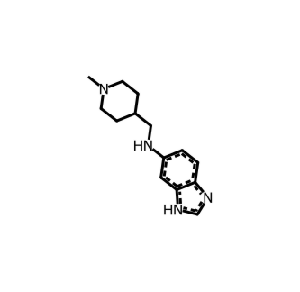 CN1CCC(CNc2ccc3nc[nH]c3c2)CC1